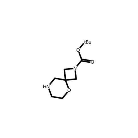 CC(C)(C)OC(=O)N1CC2(CNCCO2)C1